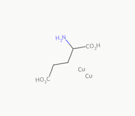 NC(CCC(=O)O)C(=O)O.[Cu].[Cu]